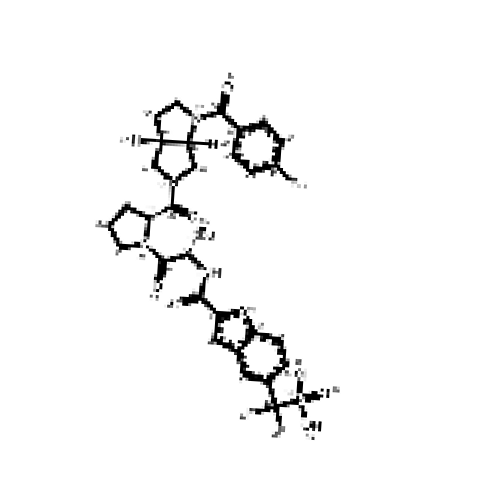 CC(C)(C)[C@H](NC(=O)c1cc2cc(C(F)(F)P(=O)(O)O)ccc2s1)C(=O)N1CCC[C@H]1C(=O)N1C[C@@H]2CCN(C(=O)c3ccc(F)cc3)[C@@H]2C1